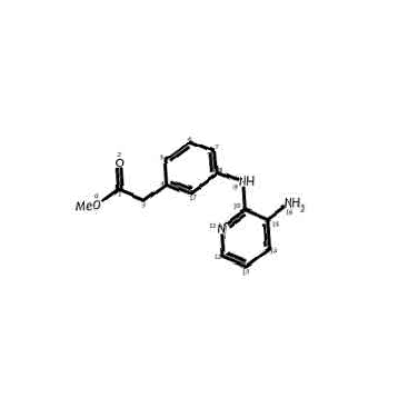 COC(=O)Cc1cccc(Nc2ncccc2N)c1